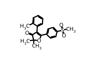 Cc1ccccc1C1=C(c2ccc(S(C)(=O)=O)cc2)OC(C)(C)C1=O